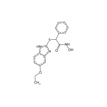 CCOc1ccc2[nH]c(SC(C(=O)NO)c3ccccc3)nc2c1